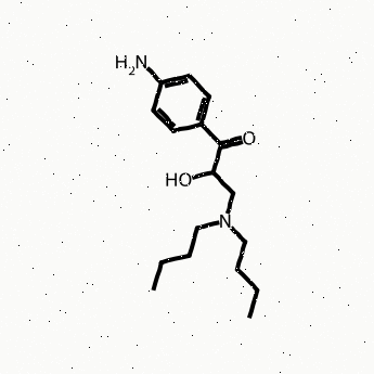 CCCCN(CCCC)CC(O)C(=O)c1ccc(N)cc1